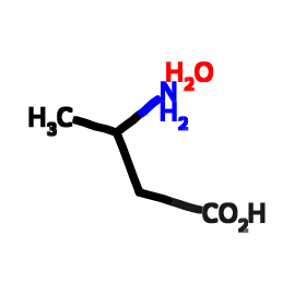 CC(N)CC(=O)O.O